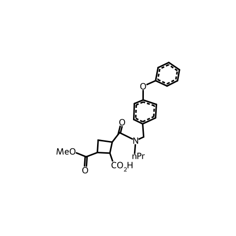 CCCN(Cc1ccc(Oc2ccccc2)cc1)C(=O)C1CC(C(=O)OC)C1C(=O)O